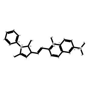 CC1=CC(/C=C/c2ccc3cc(N(C)C)ccc3[n+]2C)C(C)N1c1ccccc1